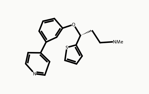 CNCC[C@@H](Oc1cccc(-c2ccncc2)c1)c1cccs1